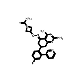 CNC(=O)N1CC(O/N=C2\CC(c3ccc(F)cc3-c3cccnc3)Cc3nc(N)nc(C)c32)C1